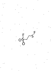 O=S(=O)(F)CCSF